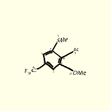 COc1cc(C(F)(F)F)cc(SC)c1C(C)=O